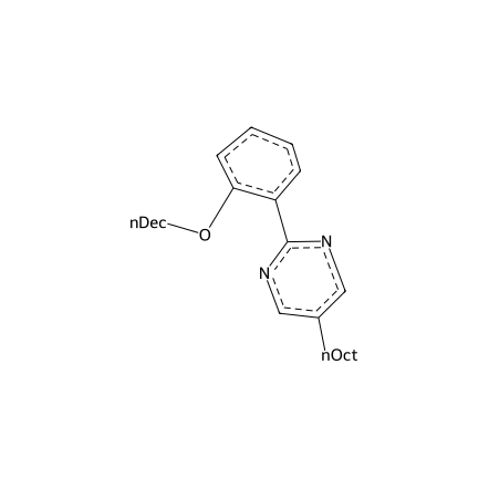 CCCCCCCCCCOc1ccccc1-c1ncc(CCCCCCCC)cn1